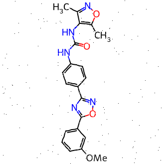 COc1cccc(-c2nc(-c3ccc(NC(=O)Nc4c(C)noc4C)cc3)no2)c1